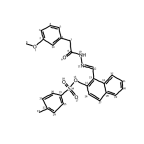 COc1cccc(CC(=O)N/N=C/c2c(OS(=O)(=O)c3ccc(C)cc3)ccc3ccccc23)c1